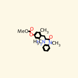 COC(=O)Oc1cc(C)c(CC(N)C(=O)N(C)c2ccccc2)c(C)c1